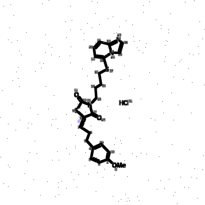 COc1ccc(CC/C=C2/SC(=O)N(CCCCSc3cccc4nccn34)C2=O)cc1.Cl